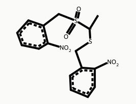 C[C](SCc1ccccc1[N+](=O)[O-])S(=O)(=O)Cc1ccccc1[N+](=O)[O-]